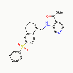 COC(=O)c1ccncc1NCC1=CCCc2cc(S(=O)(=O)c3ccccc3)ccc21